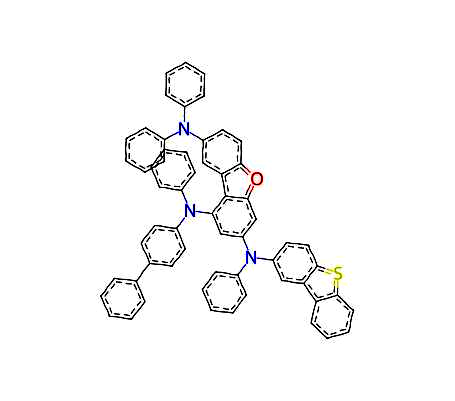 c1ccc(-c2ccc(N(c3ccccc3)c3cc(N(c4ccccc4)c4ccc5sc6ccccc6c5c4)cc4oc5ccc(N(c6ccccc6)c6ccccc6)cc5c34)cc2)cc1